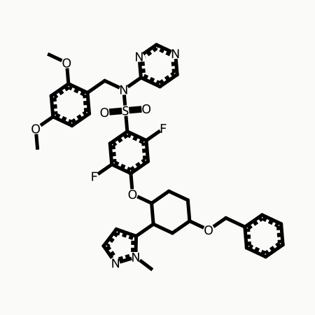 COc1ccc(CN(c2ccncn2)S(=O)(=O)c2cc(F)c(OC3CCC(OCc4ccccc4)CC3c3ccnn3C)cc2F)c(OC)c1